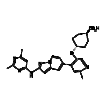 Cc1cc(-c2ccn3nc(Nc4cc(C)nc(C)n4)cc3c2)c(O[C@H]2CC[C@H](C(=O)O)CC2)cn1